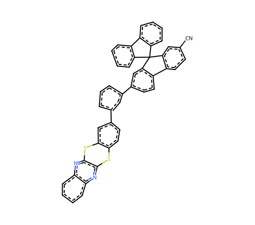 N#Cc1ccc2c(c1)C1(c3ccccc3-c3ccccc31)c1cc(-c3cccc(-c4ccc5c(c4)Sc4nc6ccccc6nc4S5)c3)ccc1-2